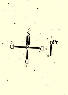 CCCC.S=P(Cl)(Cl)Cl